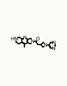 Cc1c2c(nc3c1CN(C(=O)CC1CN(c4cncnc4)C1)C3)CNCC2